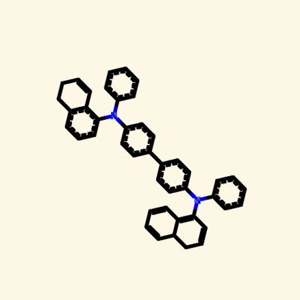 C1=CC2=C(N(c3ccccc3)c3ccc(-c4ccc(N(c5ccccc5)c5cccc6c5C=CCC6)cc4)cc3)C=CCC2C=C1